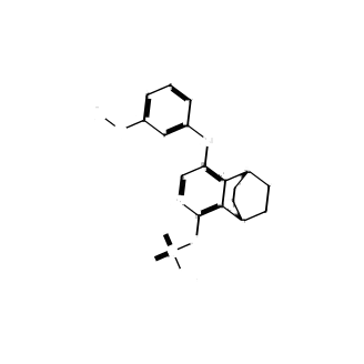 CS(=O)(=O)Oc1ncc(Nc2cccc(OC(F)(F)F)c2)c2c1C1CCC2CC1